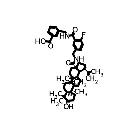 C=C(C)[C@@H]1CC[C@]2(C(=O)NCc3ccc(F)c(C(=O)NCc4cccc(C(=O)O)c4)c3)CC[C@]3(C)C(CCC4[C@@]5(C)CC[C@H](O)C(C)(C)C5CC[C@]43C)C12